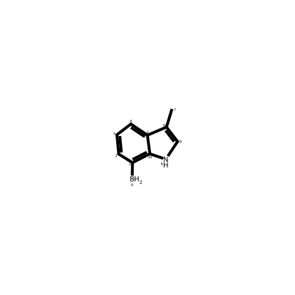 Bc1cccc2c(C)c[nH]c12